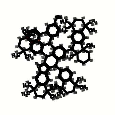 CC(C)(C)c1ccc(N2c3cc4c(cc3B3c5oc6cc7c(cc6c5N(c5ccc6c(c5)C(C)(C)CCC6(C)C)c5cc(N6c8cc9c(cc8C8(C)CCCCC68C)C(C)(C)CCC9(C)C)cc2c53)C(C)(C)CCC7(C)C)C(C)(C)CCC4(C)C)c(-c2ccccc2)c1